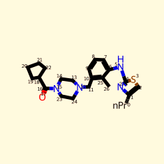 CCCc1csc(Nc2cccc(CN3CCN(C(=O)C4CCCC4)CC3)c2C)n1